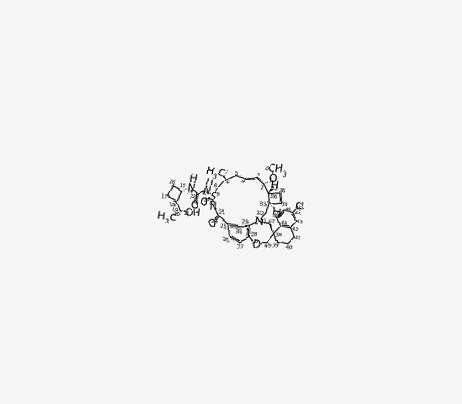 CO[C@H]1/C=C/C[C@H](C)C[S@@](=O)(NC(=O)N[C@H]2CCC2[C@@H](C)O)=NC(=O)c2ccc3c(c2)N(C[C@@H]2CC[C@H]21)C[C@@]1(CCCc2cc(Cl)ccc21)CO3